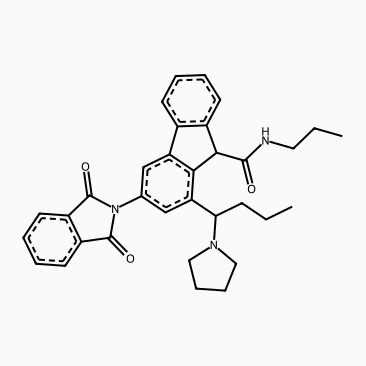 CCCNC(=O)C1c2ccccc2-c2cc(N3C(=O)c4ccccc4C3=O)cc(C(CCC)N3CCCC3)c21